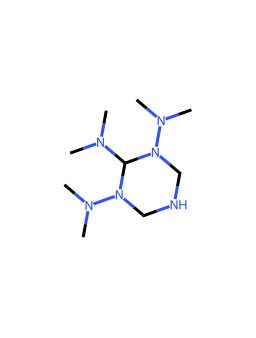 CN(C)C1N(N(C)C)CNCN1N(C)C